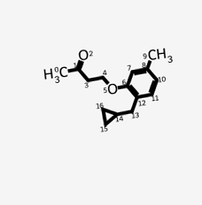 CC(=O)CCOc1cc(C)ccc1CC1CC1